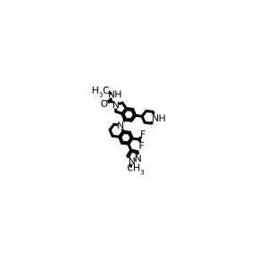 CNC(=O)N1Cc2cc(C3CCNCC3)cc(N3CCCc4cc(-c5cnn(C)c5)c(C(F)F)cc43)c2C1